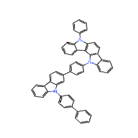 c1ccc(-c2ccc(-n3c4ccccc4c4ccc(-c5ccc(-n6c7ccccc7c7ccc8c(c9ccccc9n8-c8ccccc8)c76)cc5)cc43)cc2)cc1